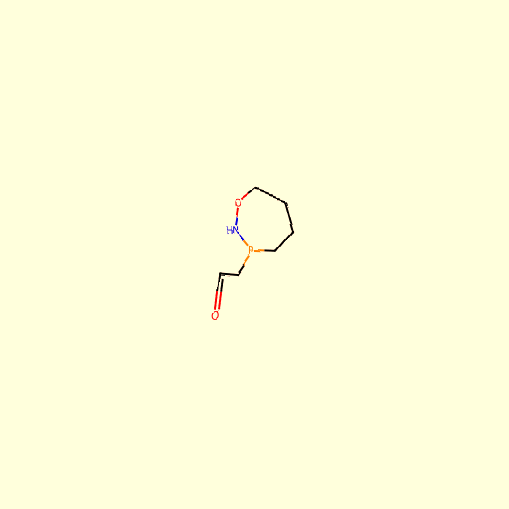 O=CCP1CCCCON1